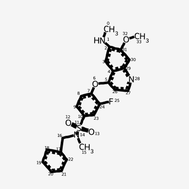 CNc1cc2c(Oc3ccc(S(=O)(=O)N(C)Cc4ccccc4)cc3F)ccnc2cc1OC